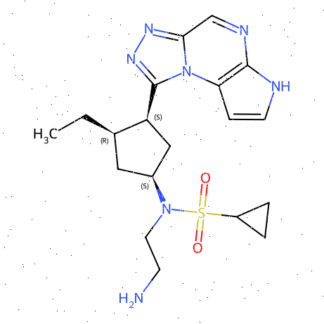 CC[C@@H]1C[C@H](N(CCN)S(=O)(=O)C2CC2)C[C@@H]1c1nnc2cnc3[nH]ccc3n12